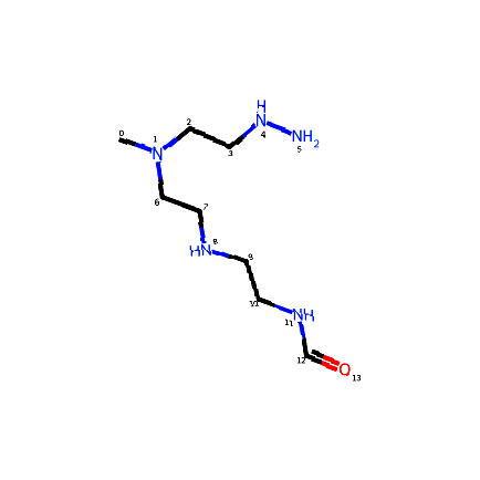 CN(CCNN)CCNCCNC=O